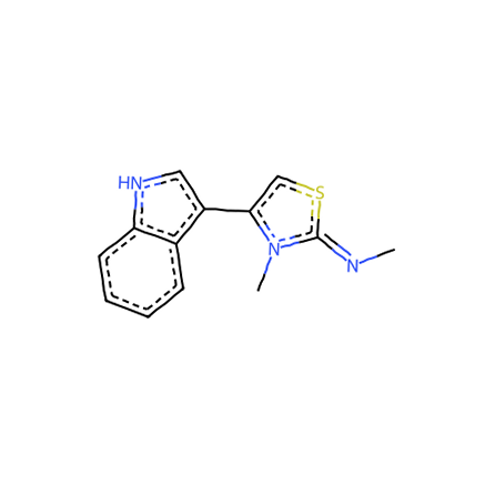 C/N=c1\scc(-c2c[nH]c3ccccc23)n1C